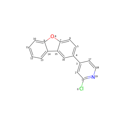 Clc1cc(-c2ccc3oc4ccccc4c3c2)ccn1